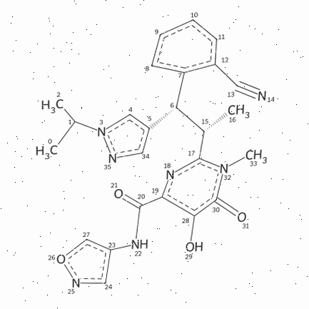 CC(C)n1cc([C@H](c2ccccc2C#N)[C@H](C)c2nc(C(=O)Nc3cnoc3)c(O)c(=O)n2C)cn1